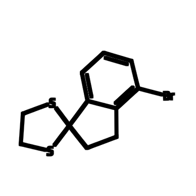 Brc1cccc2c1CCC21SCCS1